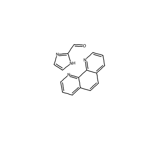 O=Cc1ncc[nH]1.c1cnc2c(c1)ccc1cccnc12